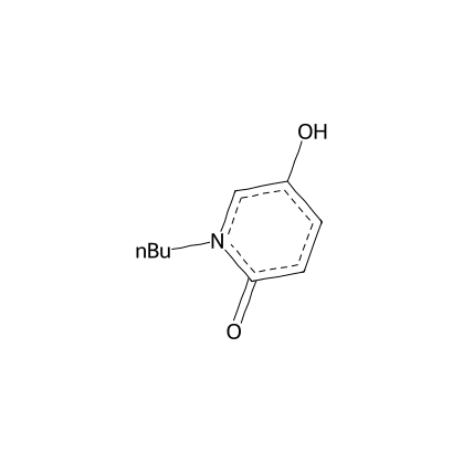 CCCCn1cc(O)ccc1=O